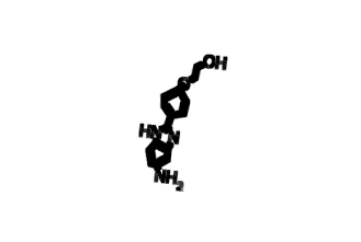 Nc1ccc2[nH]c(-c3ccc(OCCO)cc3)nc2c1